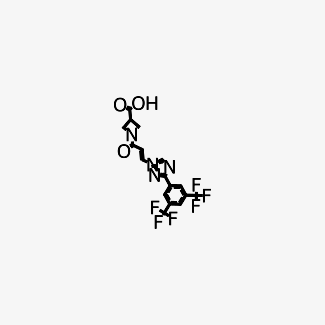 O=C(O)C1CN(C(=O)C=Cn2cnc(-c3cc(C(F)(F)F)cc(C(F)(F)F)c3)n2)C1